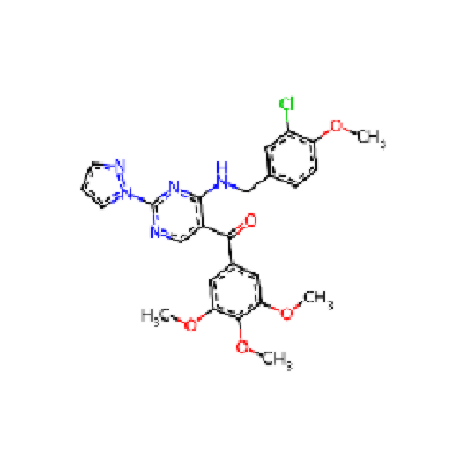 COc1ccc(CNc2nc(-n3cccn3)ncc2C(=O)c2cc(OC)c(OC)c(OC)c2)cc1Cl